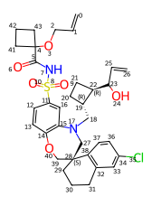 C=CCOC1(C(=O)NS(=O)(=O)c2ccc3c(c2)N(C[C@@H]2CC[C@H]2C(O)C=C)C[C@@]2(CCCc4cc(Cl)ccc42)CO3)CCC1